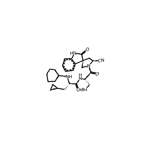 CC(C)(C)C[C@H](NC(=O)[C@H](CC1CC1)NC1CCCCC1)C(=O)N1C[C@]2(C[C@H]1C#N)C(=O)Nc1ccccc12